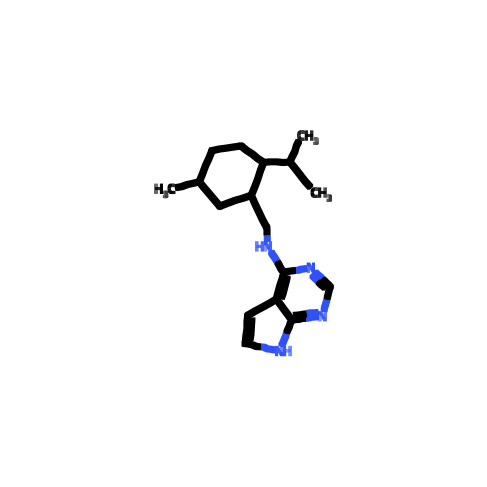 CC1CCC(C(C)C)C(CNc2ncnc3[nH]ccc23)C1